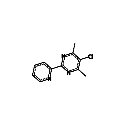 Cc1nc(-c2ccccn2)nc(C)c1Cl